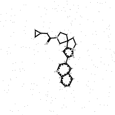 O=C(CC1CC1)N1CCC2(CCn3nc(-c4cnc5ccccc5c4)cc32)C1